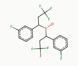 [O-][S+](C(CC(F)(F)F)c1cccc(F)c1)C(CC(F)(F)F)c1cccc(F)c1